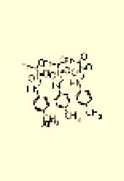 CCC(=O)P(=O)([O-])CNc1ccc(C)cc1.CCC(=O)P(=O)([O-])CNc1ccc(C)cc1.CCC(=O)P(=O)([O-])CNc1ccc(C)cc1.[Al+3]